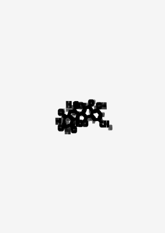 Cc1cc(O)c2c(c1)C(=O)C(c1c(C)cc3c(c1O)C(=O)[C@H]1O[C@H]1C3=O)=C(O)C2=O